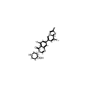 Cc1cn2cc(-c3cc(F)c4c(=O)n([C@H]5CNCC[C@H]5O)cnc4c3)cc(F)c2n1